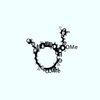 CO[C@@H]1C[C@H](CC2[C@H]3CCCN4C(=O)C(=O)[C@]5(O)O[C@@H](CC[C@H]5C)CC(OCCOC5COC5)/C(C)=C/C=C/C=C/[C@@H](C)C[C@@H](C)C(=O)[C@H](OC)[C@H](O)/C(C)=C/[C@@H](C)C(=O)C[C@@H]2OC(=O)C34)CC[C@H]1OCCCN1C[C@@H](C)O[C@@H](C)C1